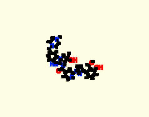 CN1CCN(Cc2ccc3[nH]/c(=N\C(=O)c4ccnc(-n5ccc(-c6cccc(O)c6C=O)n5)c4)n(CC(C)(C)O)c3c2)CC1